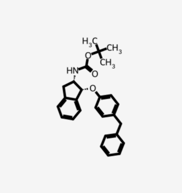 CC(C)(C)OC(=O)N[C@H]1Cc2ccccc2[C@H]1Oc1ccc(Cc2ccccc2)cc1